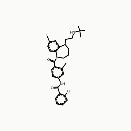 Cc1cc(NC(=O)c2ccccc2Cl)ccc1C(=O)N1CCCC(CCNC(C)(C)C)c2cc(F)ccc21